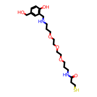 O=C(CCS)NCCCOCCOCCOCCCNCc1cc(CO)ccc1O